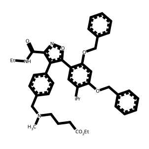 CCNC(=O)c1noc(-c2cc(C(C)C)c(OCc3ccccc3)cc2OCc2ccccc2)c1-c1ccc(CN(C)CCCC(=O)OCC)cc1